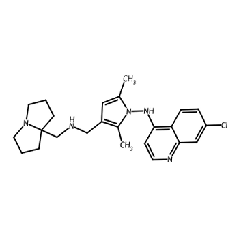 Cc1cc(CNCC23CCCN2CCC3)c(C)n1Nc1ccnc2cc(Cl)ccc12